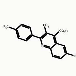 Cc1c(-c2ccc(C(F)(F)F)cc2)nc2ccc(Br)cc2c1C(=O)O